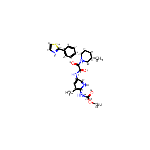 Cc1cc(NC(=O)C(=O)N2C[C@H](C)CC[C@H]2c2ccc(-c3nccs3)cc2)cnc1NC(=O)OC(C)(C)C